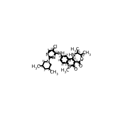 CC1CC(C)CN(c2ncc(Cl)c(Nc3ccc4c(c3)c3c(c(=O)n4C)C(=O)OC(C)C(C)N3)n2)C1